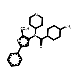 CC1CCC(C(=O)N(c2cc(-c3ccccc3)sc2C(=O)O)C2CCOCC2)CC1